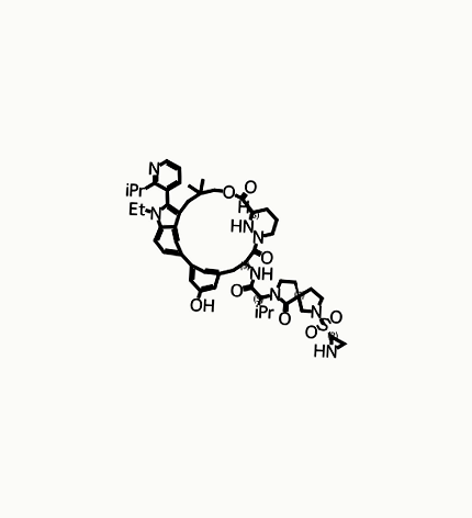 CCn1c(-c2cccnc2C(C)C)c2c3cc(ccc31)-c1cc(O)cc(c1)C[C@H](NC(=O)[C@H](C(C)C)N1CC[C@]3(CCN(S(=O)(=O)[C@@H]4CN4)C3)C1=O)C(=O)N1CCC[C@H](N1)C(=O)OCC(C)(C)C2